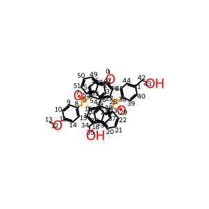 COc1ccc(P(=O)(c2ccc(OC)cc2)c2ccc3ccccc3c2-c2c(P(=O)(c3ccc(CO)cc3)c3ccc(CO)cc3)ccc3ccccc23)cc1